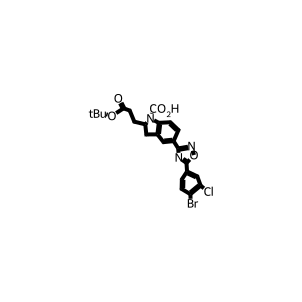 CC(C)(C)OC(=O)CCC1Cc2cc(-c3noc(-c4ccc(Br)c(Cl)c4)n3)ccc2N1C(=O)O